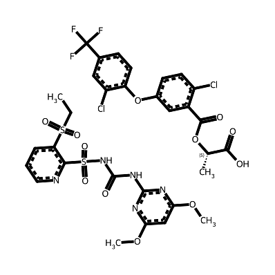 CCS(=O)(=O)c1cccnc1S(=O)(=O)NC(=O)Nc1nc(OC)cc(OC)n1.C[C@H](OC(=O)c1cc(Oc2ccc(C(F)(F)F)cc2Cl)ccc1Cl)C(=O)O